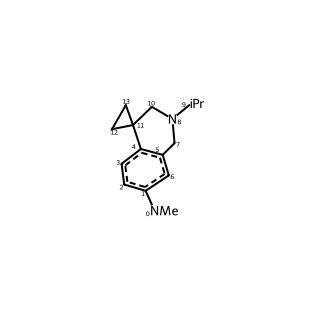 CNc1ccc2c(c1)CN(C(C)C)CC21CC1